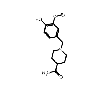 CCOc1cc(CN2CCC(C(N)=O)CC2)ccc1O